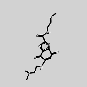 COCCNC(=O)c1nc2c(s1)C(=O)C=C(NCCN(C)C)C2=O